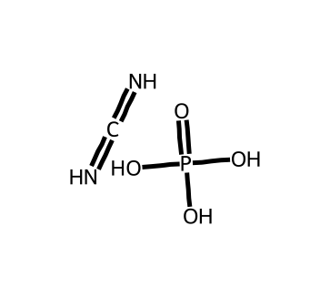 N=C=N.O=P(O)(O)O